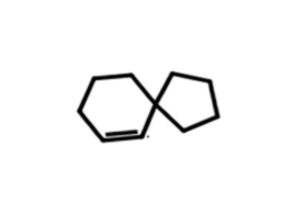 [C]1=CCCCC12CCCC2